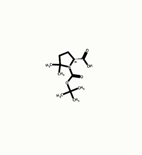 CC(C)(C)OC(=O)N1[C@@H](C(=O)O)CCC1(C)C